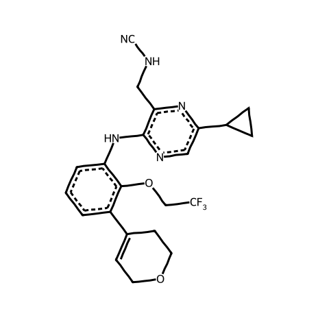 N#CNCc1nc(C2CC2)cnc1Nc1cccc(C2=CCOCC2)c1OCC(F)(F)F